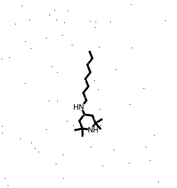 CCCCCCCCNC1CC(C)(C)NC(C)(C)C1